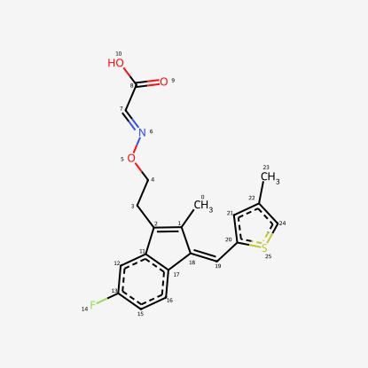 CC1=C(CCON=CC(=O)O)c2cc(F)ccc2C1=Cc1cc(C)cs1